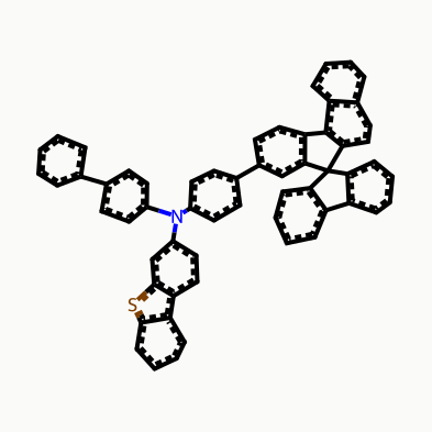 c1ccc(-c2ccc(N(c3ccc(-c4ccc5c(c4)C4(c6ccccc6-c6ccccc64)c4ccc6ccccc6c4-5)cc3)c3ccc4c(c3)sc3ccccc34)cc2)cc1